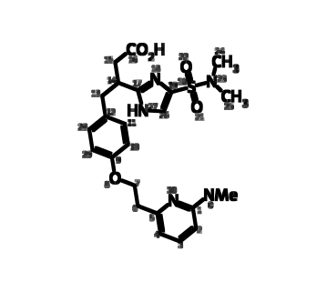 CNc1cccc(CCOc2ccc(CC(CC(=O)O)c3nc(S(=O)(=O)N(C)C)c[nH]3)cc2)n1